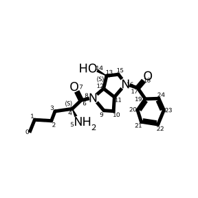 CCCC[C@H](N)C(=O)N1CCC2C1[C@@H](O)CN2C(=O)c1ccccc1